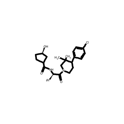 CC(C)[C@@H](NC(=O)C1CC[C@@H](O)C1)C(=O)N1CCC(c2ccc(Cl)cc2)C(C)(C)C1